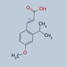 COc1ccc(/C=C/C(=O)O)c(C(C)C)c1